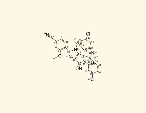 COc1cc(C#N)ccc1-c1nc2c(n1C(C)C)C1(C(=O)Nc3cc(Cl)ccc31)N(c1cc(Cl)ccc1C)C2O